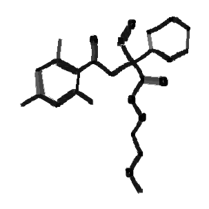 COCCOOC(=O)C(CC(=O)c1c(C)cc(C)cc1C)(P=O)C1CCCCC1